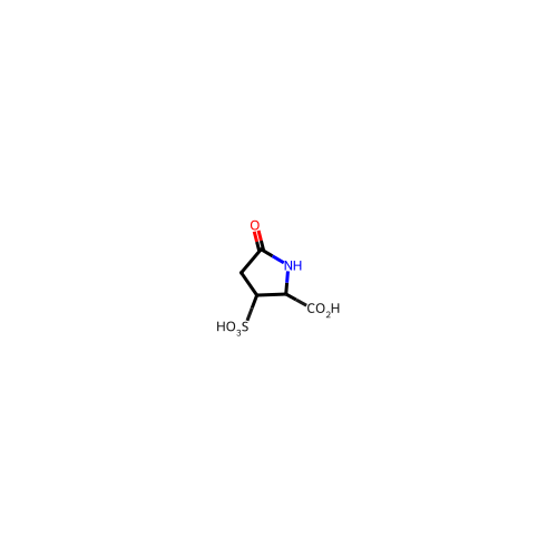 O=C1CC(S(=O)(=O)O)C(C(=O)O)N1